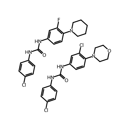 O=C(Nc1ccc(Cl)cc1)Nc1ccc(N2CCCCC2)c(F)c1.O=C(Nc1ccc(Cl)cc1)Nc1ccc(N2CCOCC2)c(Cl)c1